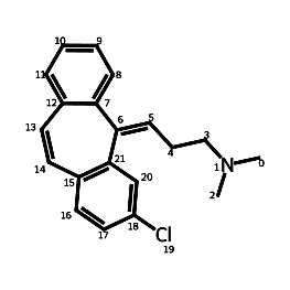 CN(C)CCC=C1c2ccccc2C=Cc2ccc(Cl)cc21